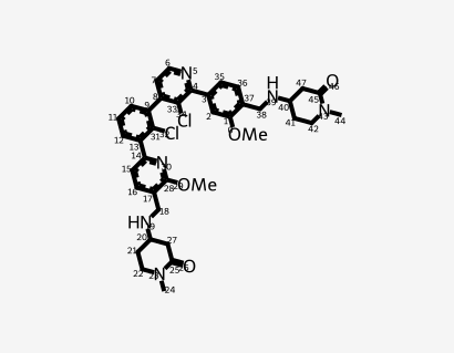 COc1cc(-c2nccc(-c3cccc(-c4ccc(CNC5CCN(C)C(=O)C5)c(OC)n4)c3Cl)c2Cl)ccc1CNC1CCN(C)C(=O)C1